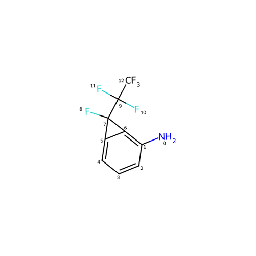 Nc1cccc2c1C2(F)C(F)(F)C(F)(F)F